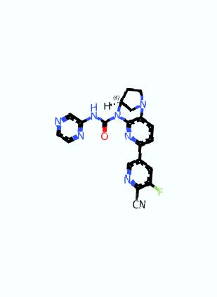 N#Cc1ncc(-c2ccc3c(n2)N(C(=O)Nc2cnccn2)[C@H]2CCN3C2)cc1F